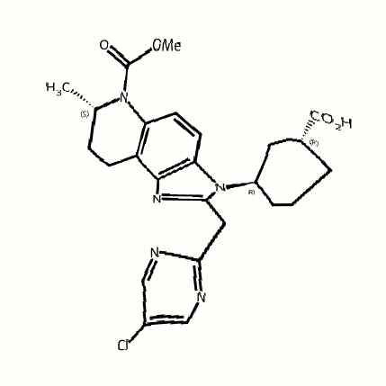 COC(=O)N1c2ccc3c(nc(Cc4ncc(Cl)cn4)n3[C@@H]3CCC[C@@H](C(=O)O)C3)c2CC[C@@H]1C